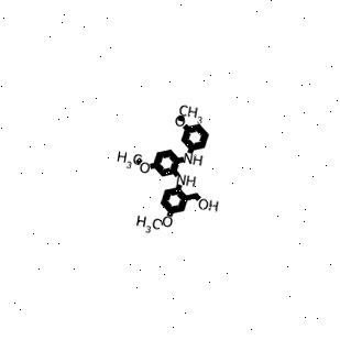 COc1cccc(Nc2ccc(OC)cc2Nc2ccc(OC)cc2CO)c1